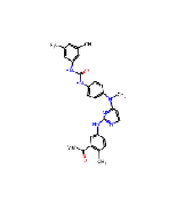 CNC(=O)c1cc(Nc2nccc(N(C)c3ccc(NC(=O)Nc4cc(C#N)cc(C(F)(F)F)c4)cc3)n2)ccc1C